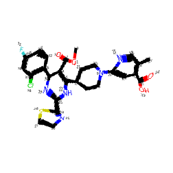 COC(=O)C1=C(C2CCN(c3cc(C(=O)O)c(C)cn3)CC2)NC(c2nccs2)=NC1c1ccc(F)cc1Cl